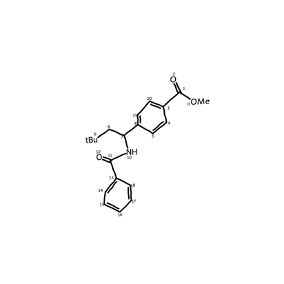 COC(=O)c1ccc(C(CC(C)(C)C)NC(=O)c2ccccc2)cc1